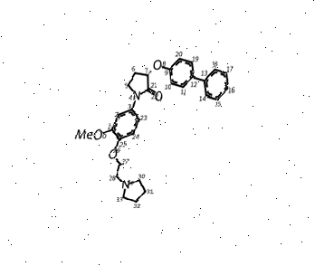 COc1cc(N2CC[C@H](Oc3ccc(-c4ccccc4)cc3)C2=O)ccc1OCCN1CCCC1